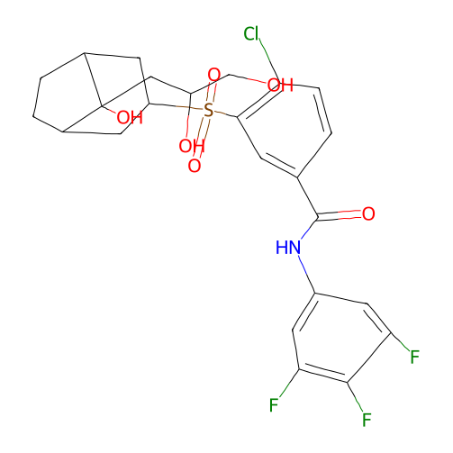 O=C(Nc1cc(F)c(F)c(F)c1)c1ccc(Cl)c(S(=O)(=O)C2CC3CCC(C2)C3(O)CC(O)CO)c1